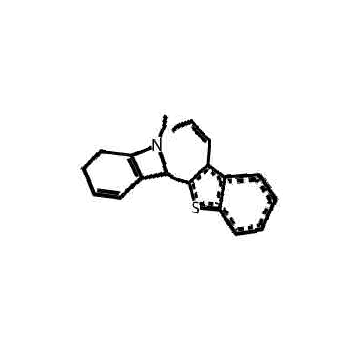 C/C=C\c1c(C2C3=C(CCC=C3)N2C)sc2ccccc12